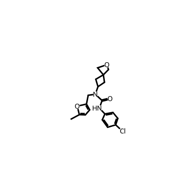 Cc1ccc(CN(C(=O)Nc2ccc(Cl)cc2)C2CC3(COC3)C2)o1